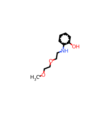 COCCOCCNc1ccccc1O